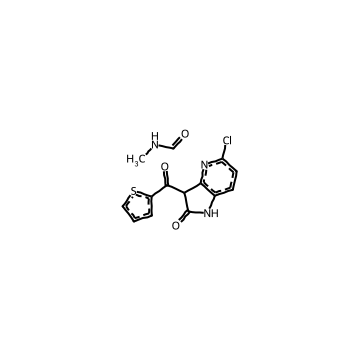 CNC=O.O=C1Nc2ccc(Cl)nc2C1C(=O)c1cccs1